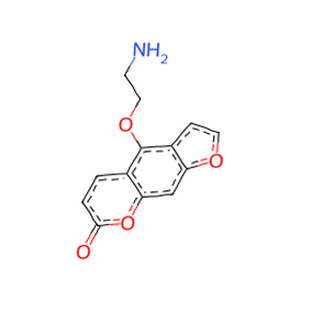 NCCOc1c2ccoc2cc2oc(=O)ccc12